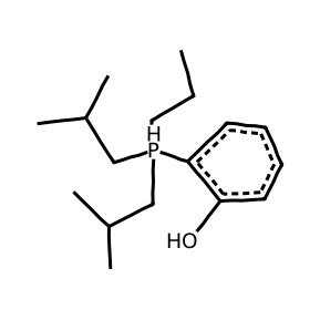 CCC[PH](CC(C)C)(CC(C)C)c1ccccc1O